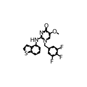 COc1cn(Cc2cc(F)c(F)c(F)c2)c(Nc2cccc3sccc23)nc1=O